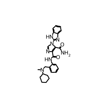 CN(Cc1ccccc1NC(=O)c1ncn(-c2nc3ccccc3[nH]2)c1C(N)=O)C1CCCCC1